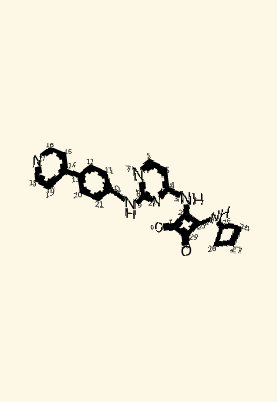 O=c1c(Nc2ccnc(Nc3ccc(-c4ccncc4)cc3)n2)c(NC2CCC2)c1=O